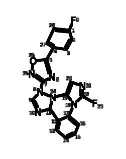 Fc1ccc(-c2nc(N3C=NC4c5ccccc5-n5c(cnc5F)N43)no2)cc1